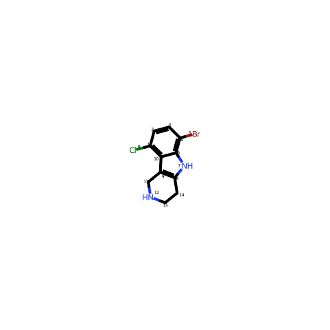 Clc1ccc(Br)c2[nH]c3c(c12)CNCC3